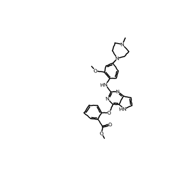 COC(=O)c1ccccc1Oc1nc(Nc2ccc(N3CCN(C)CC3)cc2OC)nc2cc[nH]c12